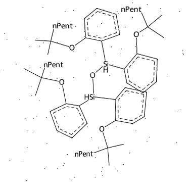 CCCCCC(C)(C)Oc1ccccc1[SiH](O[SiH](c1ccccc1OC(C)(C)CCCCC)c1ccccc1OC(C)(C)CCCCC)c1ccccc1OC(C)(C)CCCCC